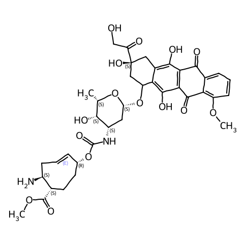 COC(=O)[C@H]1CC[C@@H](OC(=O)N[C@H]2C[C@@H](OC3C[C@](O)(C(=O)CO)Cc4c(O)c5c(c(O)c43)C(=O)c3c(OC)cccc3C5=O)O[C@@H](C)[C@H]2O)/C=C/C[C@@H]1N